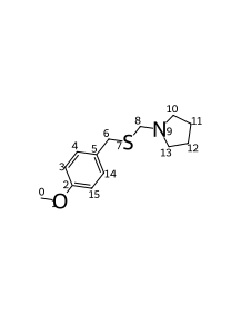 COc1ccc(CSCN2CCCC2)cc1